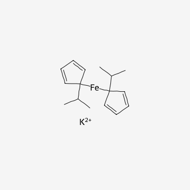 CC(C)[C]1([Fe][C]2(C(C)C)C=CC=C2)C=CC=C1.[K+2]